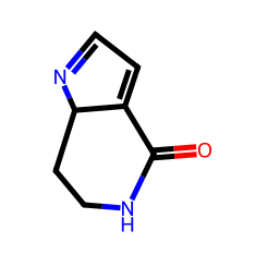 O=C1NCCC2N=CC=C12